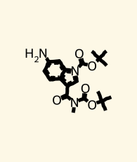 CN(C(=O)OC(C)(C)C)C(=O)c1cn(C(=O)OC(C)(C)C)c2cc(N)ccc12